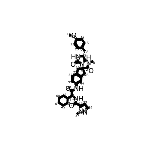 CNC(=O)C1(N2C[C@@H](Cc3ccc(OC)cc3)NC2=O)Cc2ccc(NC(=O)[C@@H](NC(=O)c3ccnn3C)C3CCCCC3)cc2C1